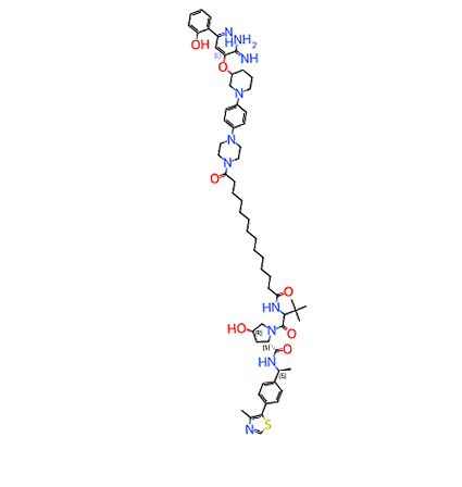 Cc1ncsc1-c1ccc([C@H](C)NC(=O)[C@@H]2C[C@@H](O)CN2C(=O)C(NC(=O)CCCCCCCCCCCCC(=O)N2CCN(c3ccc(N4CCCC(O/C(=C/C(=N)c5ccccc5O)C(=N)N)C4)cc3)CC2)C(C)(C)C)cc1